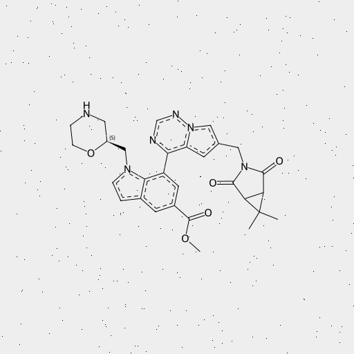 COC(=O)c1cc(-c2ncnn3cc(CN4C(=O)C5C(C4=O)C5(C)C)cc23)c2c(ccn2C[C@@H]2CNCCO2)c1